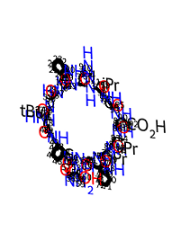 CC(C)C[C@@H]1NC(=O)[C@H](Cc2c[nH]cn2)NC(=O)[C@H](Cc2c[nH]c3ccccc23)NC(=O)[C@H](C)NC(=O)[C@@H](NC(C)(C)C)CC(=O)NCc2ccccc2C[C@@H](C(=O)N[C@H](C(N)=O)[C@@H](C)O)NC(=O)[C@H](Cc2c[nH]c3ccccc23)NC(=O)[C@H](C(C)C)NC(=O)[C@H](CC(C)C)NC(=O)[C@H](CCC(=O)O)NC(=O)CNC1=O